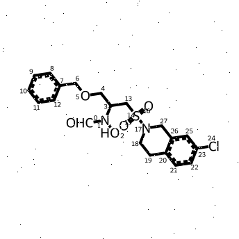 O=CN(O)C(COCc1ccccc1)CS(=O)(=O)N1CCc2ccc(Cl)cc2C1